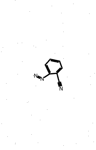 [N]=Nc1ccccc1C#N